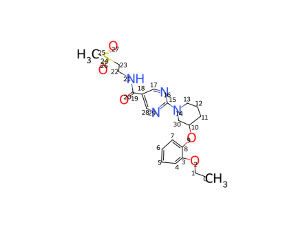 CCOc1ccccc1OC1CCCN(c2ncc(C(=O)NCCS(C)(=O)=O)cn2)C1